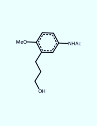 COc1ccc(NC(C)=O)cc1CCCO